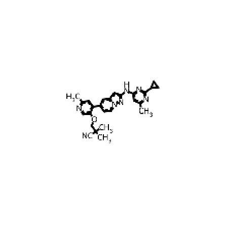 Cc1cc(-c2ccn3nc(Nc4cc(C)nc(C5CC5)n4)cc3c2)c(OCC(C)(C)C#N)cn1